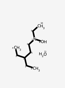 CCC(CC)CCN(O)CC.O